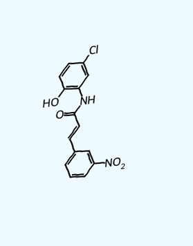 O=C(C=Cc1cccc([N+](=O)[O-])c1)Nc1cc(Cl)ccc1O